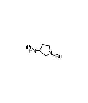 CCC(C)N1CCC(NC(C)C)C1